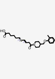 Cc1ccccc1OCC1CCN(C(=O)C/C=C/N=C/CCCCC(=O)O)CC1